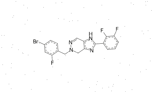 Fc1cc(Br)ccc1CN1Cc2nc(-c3cccc(F)c3F)[nH]c2C=N1